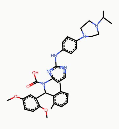 COc1ccc(OC)c(C(c2c(C)cccc2C)N(C(=O)O)c2ccnc(Nc3ccc(N4CCN(C(C)C)CC4)cc3)n2)c1